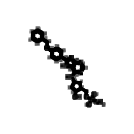 NS(=O)(=O)OC[C@@H]1CC(Nc2ncnc3nc(-c4ccc(OCc5ccccc5)cc4)[nH]c23)C[C@@H]1O